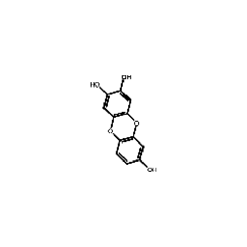 Oc1ccc2c(c1)Oc1cc(O)c(O)cc1O2